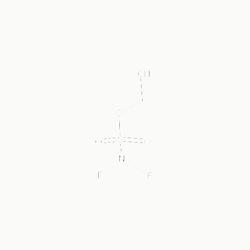 CCOS(=O)(=O)N(F)F